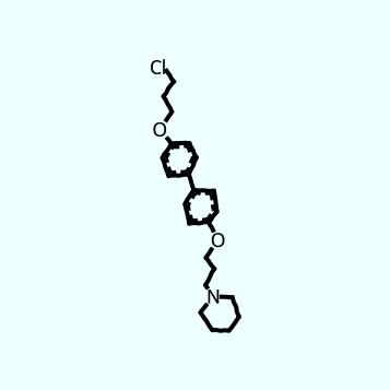 ClCCCOc1ccc(-c2ccc(OCCCN3CCCCC3)cc2)cc1